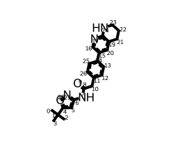 CC(C)(C)c1cc(NC(=O)Cc2ccc(-c3cnc4c(c3)CCCN4)cc2)no1